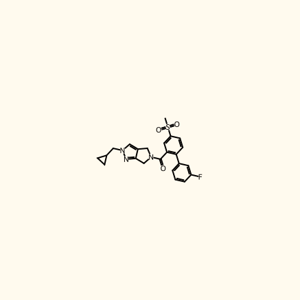 CS(=O)(=O)c1ccc(-c2cccc(F)c2)c(C(=O)N2Cc3cn(CC4CC4)nc3C2)c1